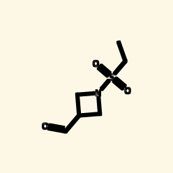 CCS(=O)(=O)N1CC(C=O)C1